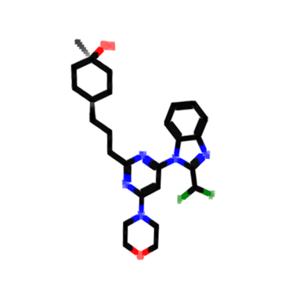 C[C@]1(O)CC[C@@H](CCCc2nc(N3CCOCC3)cc(-n3c(C(F)F)nc4ccccc43)n2)CC1